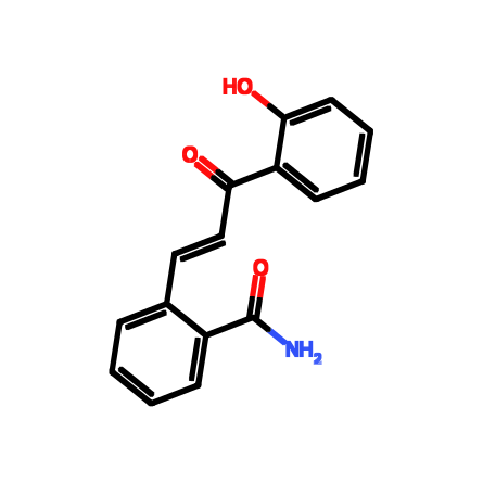 NC(=O)c1ccccc1C=CC(=O)c1ccccc1O